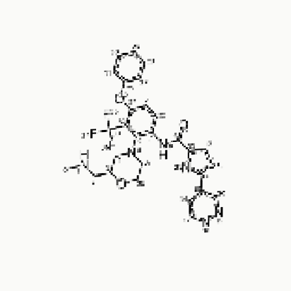 CNC[C@H]1CN(c2c(NC(=O)c3csc(-c4ccnnc4)n3)ccc(Oc3ccccc3)c2C(F)(F)F)CCO1